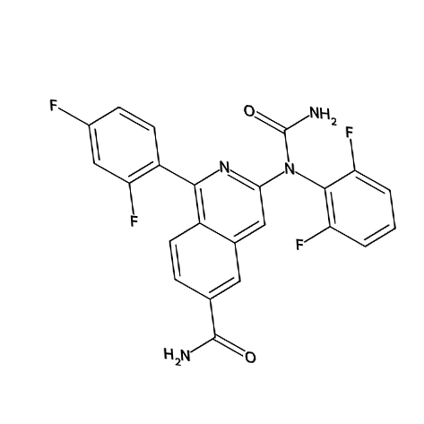 NC(=O)c1ccc2c(-c3ccc(F)cc3F)nc(N(C(N)=O)c3c(F)cccc3F)cc2c1